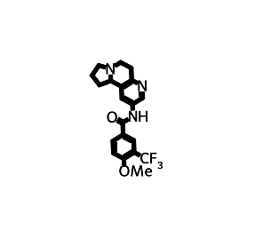 COc1ccc(C(=O)Nc2cnc3c(c2)C2CCCN2CC3)cc1C(F)(F)F